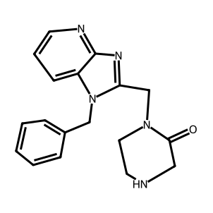 O=C1CNCCN1Cc1nc2ncccc2n1Cc1ccccc1